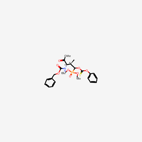 COC(=O)[C@@H](NC(=O)OCc1ccccc1)[C@@H](C)C(OC(=S)Oc1ccccc1)P(=O)(OC(C)(C)C)OC(C)(C)C